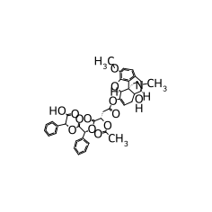 COc1ccc2c3c1O[C@@H]1C(OC(=O)C[C@H](OC(C)=O)C(=O)O[C@H](C(=O)O[C@H](C(=O)O)c4ccccc4)c4ccccc4)=CC[C@]4(O)[C@H](C2)N(C)CC[C@@]314